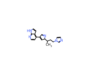 CC(CCn1ccnc1)C1C=C(c2ccnc3[nH]ccc23)C=N1